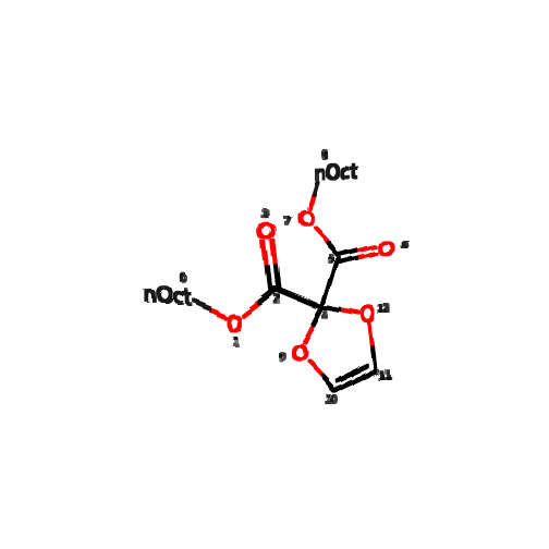 CCCCCCCCOC(=O)C1(C(=O)OCCCCCCCC)OC=CO1